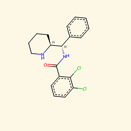 O=C(N[C@@H](c1ccccc1)[C@@H]1CCCCN1)c1cccc(Cl)c1Cl